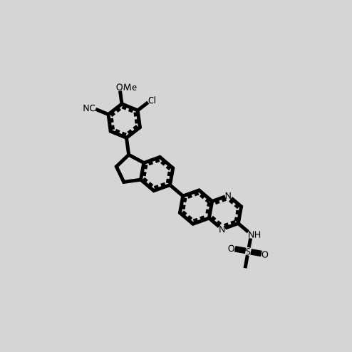 COc1c(Cl)cc(C2CCc3cc(-c4ccc5nc(NS(C)(=O)=O)cnc5c4)ccc32)cc1C#N